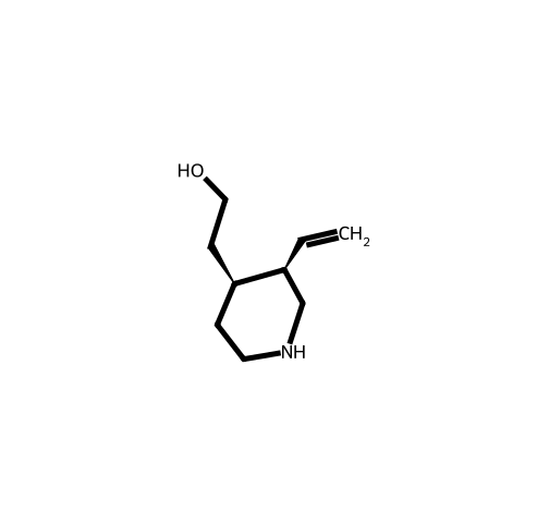 C=C[C@H]1CNCC[C@H]1CCO